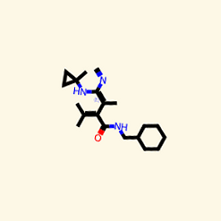 C=N/C(NC1(C)CC1)=C(\C)C(C(=O)NCC1CCCCC1)=C(C)C